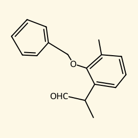 Cc1cccc(C(C)C=O)c1OCc1ccccc1